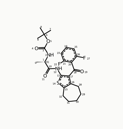 C[C@H](NC(=O)OC(C)(C)C)C(=O)Nc1sc2c(c1C(=O)c1c(F)cccc1F)CCCCC2